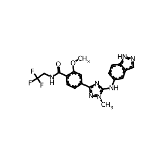 COc1cc(-c2nc(Nc3ccc4[nH]ncc4c3)n(C)n2)ccc1C(=O)NCC(F)(F)F